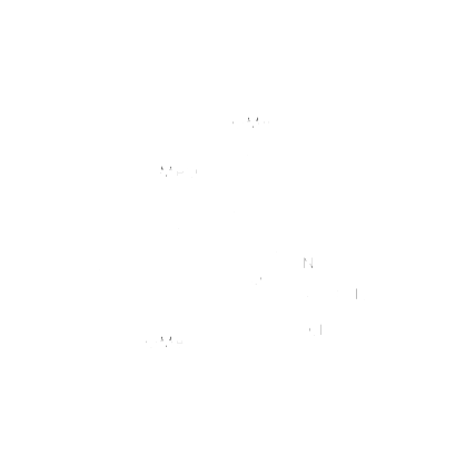 COc1cccc(CCc2c(C3=NC(C)(C)CO3)ccc(OC)c2OC)c1